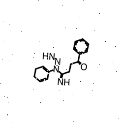 N=NN(C(=N)CCC(=O)c1ccccc1)C1=CCCC=C1